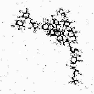 C=CC(C)(O)CC/C=C(\CO)C(=O)O[C@@H]1C(C)O[C@@H](O[C@](C)(C=C)CC/C=C(\CO)C(=O)O[C@H]2C[C@@]3(C(=O)O[C@@H]4OC(CO)[C@@H](O)C(O)[C@@H]4O[C@@H]4OC(C)[C@H](O[C@@H]5O[C@@H](CO)[C@H](O)[C@@H]5O)C(O[C@@H]5OC(CO)[C@@H](O)C(O)[C@@H]5O)[C@@H]4O)C(CC2(C)C)C2=CC(=O)C4[C@@]5(C)CC[C@H](O[C@@H]6OC(CO[C@@H]7OC(C)[C@H](O)C(O)[C@@H]7O[C@@H]7OC[C@@H](O)C(O)[C@@H]7O)[C@@H](O)C(O)[C@@H]6C)C(C)(C)C5CC[C@@]4(C)[C@]2(C)C[C@H]3O)[C@@H](O)C1O